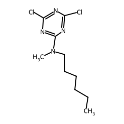 CCCCCCN(C)c1nc(Cl)nc(Cl)n1